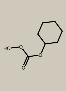 O=C(OO)OC1CCCCC1